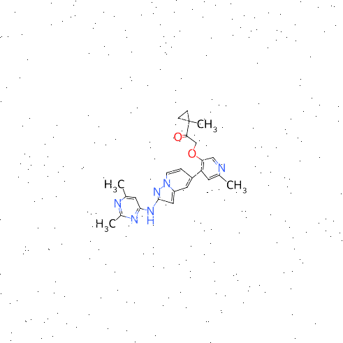 Cc1cc(-c2ccn3nc(Nc4cc(C)nc(C)n4)cc3c2)c(OCC(=O)C2(C)CC2)cn1